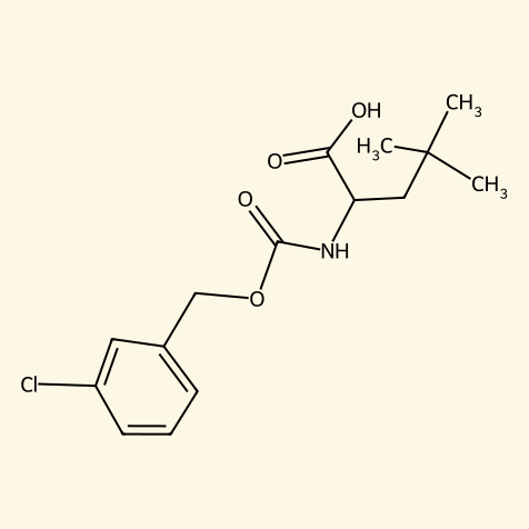 CC(C)(C)CC(NC(=O)OCc1cccc(Cl)c1)C(=O)O